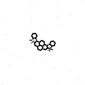 C[Si]1(C)c2ccccc2-c2c1cc1ccc3cc4c(c5ccc2c1c35)-c1ccccc1[Si]4(C)C